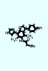 Cc1c(NC(=O)CC(C)(C)C)c(C)c2c(c1-c1c[nH]cn1)OCC2c1ccc(C(C)C)cc1